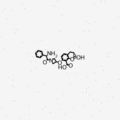 N[C@@H](C(=O)N1CC(Oc2ccc3c(c2C(=O)O)OB(O)CC3)C1)c1ccccc1